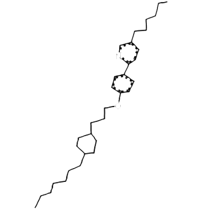 CCCCCCCC1CCC(CCCOc2ccc(-c3ccc(CCCCCC)cn3)cc2)CC1